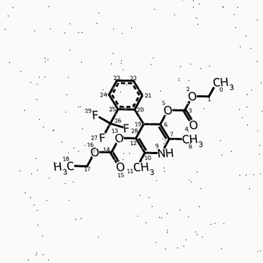 CCOC(=O)OC1=C(C)NC(C)=C(OC(=O)OCC)C1c1ccccc1C(F)(F)F